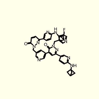 O=c1ccc(-c2ccc(NC34CC(C3)C4)nc2)nn1Cc1cncc(-c2cc(-c3ccc(NC45CC(C4)C5)nc3)nn(Cc3cncc(F)c3)c2=O)c1